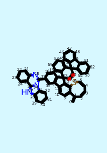 C=C1/C=C\C=C/Sc2c1ccc1c2C2(c3ccc(C4=Nc5ccccc5C5Nc6ccccc6N45)cc3-1)c1ccccc1C1(c3ccccc3-c3ccccc31)c1ccccc12